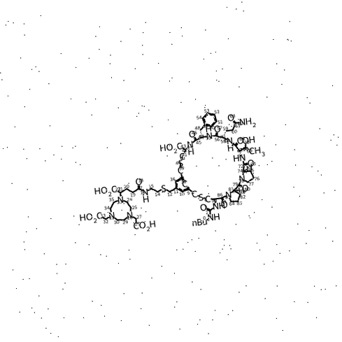 CCCCNC(=O)N[C@H]1CSCc2cc(CSCCNC(=O)CCC(C(=O)O)N3CCN(CC(=O)O)CCN(CC(=O)O)CC3)cc(c2)CSCC(C(=O)O)NC(=O)[C@H](Cc2ccccc2)NC(=O)[C@H](CCC(N)=O)NC(=O)[C@H]([C@@H](C)O)NC(=O)[C@@H]2CCCN2C(=O)[C@@H]2CCCN2C1=O